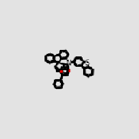 c1ccc(-c2ccc(N(c3ccc4sc5ccccc5c4c3)c3cccc4c3C3(c5ccccc5-4)C4CC5CC(C4)CC3C5)cc2)cc1